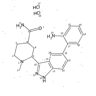 CN1CCC(C(N)=O)CC1c1n[nH]c2ccc(-c3ccccc3N)cc12.Cl.Cl